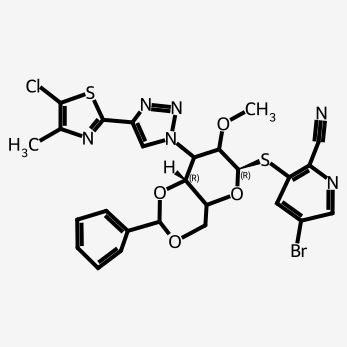 COC1C(n2cc(-c3nc(C)c(Cl)s3)nn2)[C@H]2OC(c3ccccc3)OCC2O[C@@H]1Sc1cc(Br)cnc1C#N